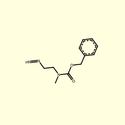 CN(CCN=N)C(=O)OCc1ccccc1